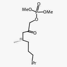 COP(=O)(OC)OCC(=O)C[C@@H](C)CCCC(C)C